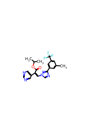 Cc1cc(-c2ncn(C=C(C(=O)OC(C)C)c3cncnc3)n2)cc(C(F)(F)F)c1